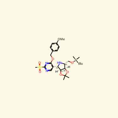 COc1ccc(COc2nc(S(C)(=O)=O)ncc2[C@@H]2N[C@H](CO[Si](C)(C)C(C)(C)C)[C@H]3OC(C)(C)O[C@H]32)cc1